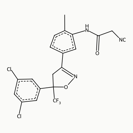 [C-]#[N+]CC(=O)Nc1cc(C2=NOC(c3cc(Cl)cc(Cl)c3)(C(F)(F)F)C2)ccc1C